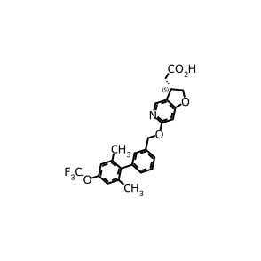 Cc1cc(OC(F)(F)F)cc(C)c1-c1cccc(COc2cc3c(cn2)[C@H](CC(=O)O)CO3)c1